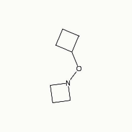 C1CC(ON2CCC2)C1